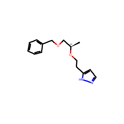 C[C@H](COCc1ccccc1)OCCc1ccn[nH]1